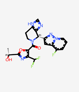 C[C@@H](O)c1nc(C(F)F)c(C(=O)N2CCc3[nH]cnc3[C@@H]2c2cc3c(F)cccn3n2)o1